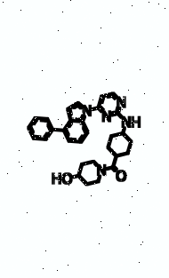 O=C(C1CCC(Nc2nccc(-n3ccc4c(-c5ccccc5)cccc43)n2)CC1)N1CCC(O)CC1